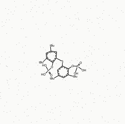 CC(C)(C)c1cc(Sc2cc(C(C)(C)C)cc(C(C)(C)C)c2OP(=O)(O)O)c(OP(=O)(O)O)c(C(C)(C)C)c1